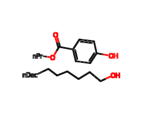 CCCCCCCCCCCCCCCCO.CCCOC(=O)c1ccc(O)cc1